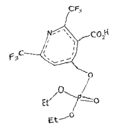 CCOP(=O)(OCC)Oc1cc(C(F)(F)F)nc(C(F)(F)F)c1C(=O)O